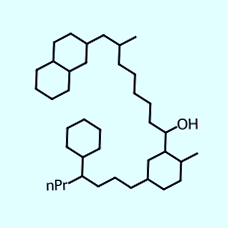 CCCC(CCCC1CCC(C)C(C(O)CCCCCC(C)CC2CCC3CCCCC3C2)C1)C1CCCCC1